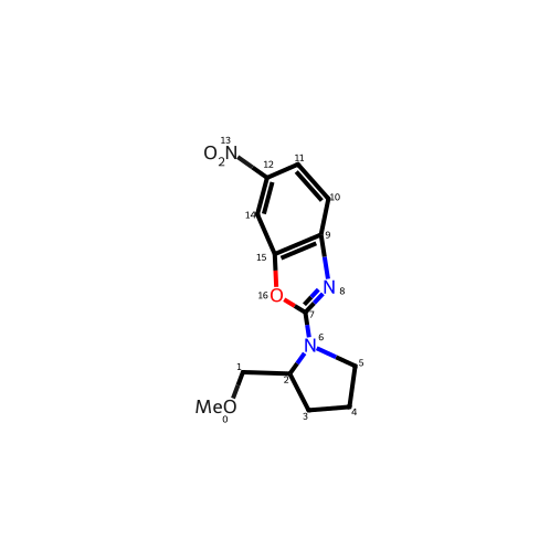 COCC1CCCN1c1nc2ccc([N+](=O)[O-])cc2o1